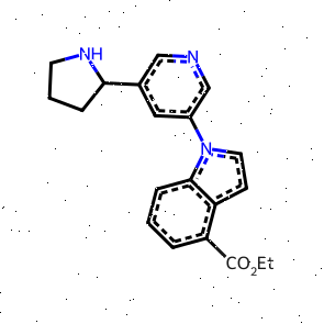 CCOC(=O)c1cccc2c1ccn2-c1cncc(C2CCCN2)c1